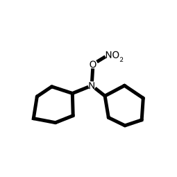 O=[N+]([O-])ON(C1CCCCC1)C1CCCCC1